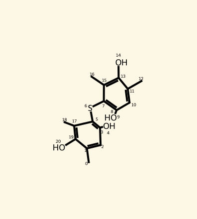 Cc1cc(O)c(Sc2c(O)cc(C)c(O)c2C)c(C)c1O